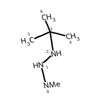 CNNNC(C)(C)C